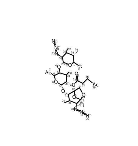 CCC1O[C@H](O[C@@H]2C(C(C)=O)O[C@@H](O[C@@H]3C4CO[C@H](O4)[C@@H](N=[N+]=[N-])C3C)[C@@H](OC(=O)CCC(C)=O)C2C)[C@@H](N=[N+]=[N-])C(C)[C@@H]1C